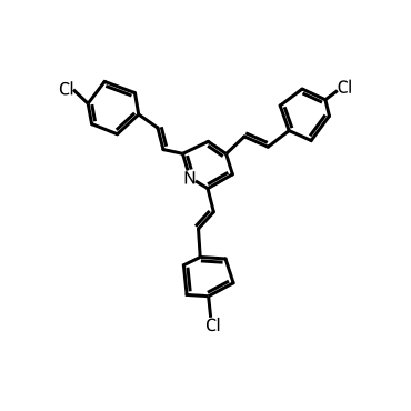 Clc1ccc(C=Cc2cc(C=Cc3ccc(Cl)cc3)nc(C=Cc3ccc(Cl)cc3)c2)cc1